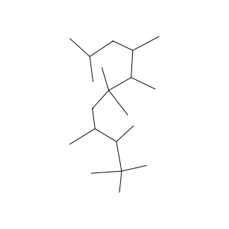 CC(C)CC(C)C(C)C(C)(C)CC(C)C(C)C(C)(C)C